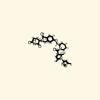 Cc1cc(-n2c(C)cc(C(=O)N3CCCC[C@H]3COc3ccc4c(c3)CN(C3CCC(=O)NC3=O)C4=O)c2C)no1